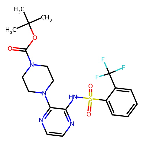 CC(C)(C)OC(=O)N1CCN(c2nccnc2NS(=O)(=O)c2ccccc2C(F)(F)F)CC1